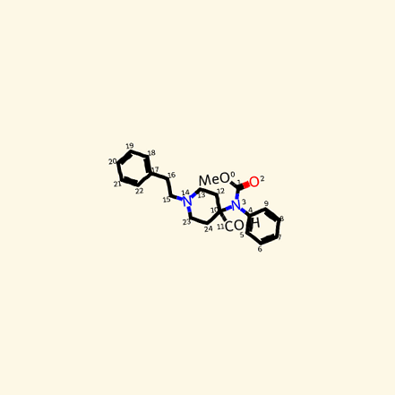 COC(=O)N(c1ccccc1)C1(C(=O)O)CCN(CCc2ccccc2)CC1